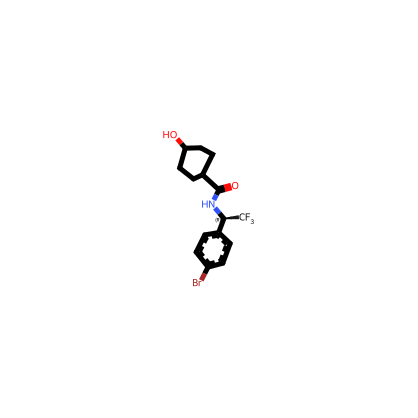 O=C(N[C@H](c1ccc(Br)cc1)C(F)(F)F)C1CCC(O)CC1